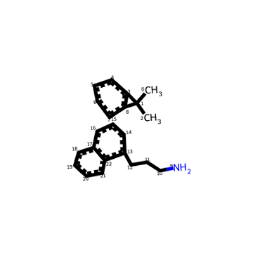 CC1(C)c2ccccc21.NCCCc1cccc2ccccc12